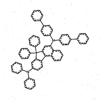 c1ccc(-c2ccc(N(c3ccc(-c4ccccc4)cc3)c3cc4c(c5ccccc35)-c3ccc(N(c5ccccc5)c5ccccc5)cc3C4(c3ccccc3)c3ccccc3)cc2)cc1